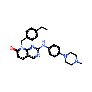 CCc1ccc(Cn2c(=O)ccc3cnc(Nc4ccc(N5CCN(C)CC5)cc4)nc32)cc1